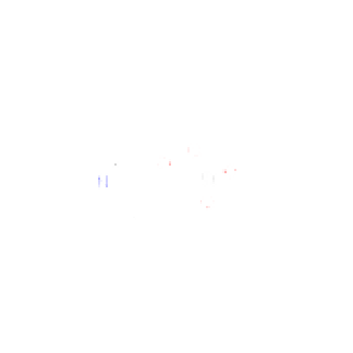 CCCO[Si](COC1(C)CCCN(C)C1(C)C)(OCCC)OCCC